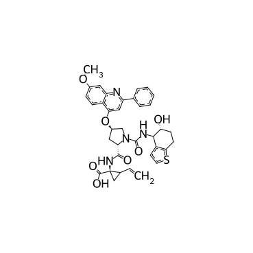 C=CC1C[C@]1(NC(=O)[C@@H]1C[C@@H](Oc2cc(-c3ccccc3)nc3cc(OC)ccc23)CN1C(=O)NC1c2ccsc2CC[C@H]1O)C(=O)O